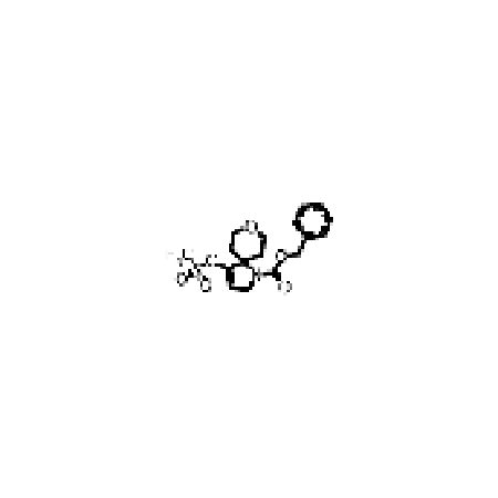 O=C(OCc1ccccc1)N1CC=C(OS(=O)(=O)C(F)(F)F)C12CCOCC2